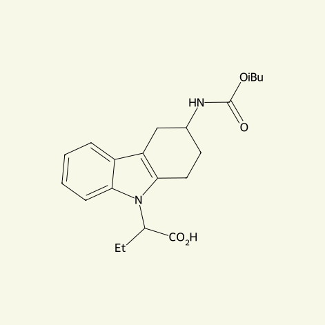 CCC(C(=O)O)n1c2c(c3ccccc31)CC(NC(=O)OCC(C)C)CC2